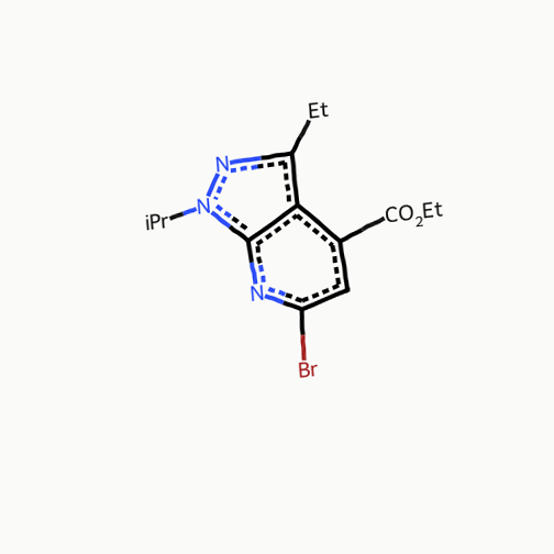 CCOC(=O)c1cc(Br)nc2c1c(CC)nn2C(C)C